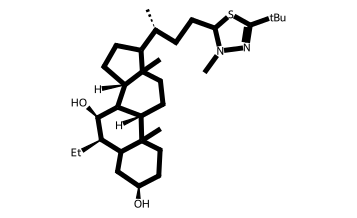 CC[C@@H]1C2C[C@H](O)CCC2(C)[C@H]2CCC3(C)C([C@H](C)CCC4SC(C(C)(C)C)=NN4C)CC[C@H]3C2[C@@H]1O